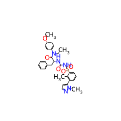 CCN(C(=O)C(Cc1ccccc1)NC(=O)NS(=O)(=O)c1cccc(-c2ccnn2C)c1C)c1ccc(OC)cc1